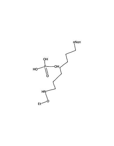 CCCCCCCCCCCCCCCCNOCC.O=P(O)(O)O